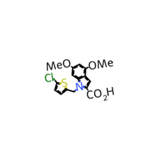 COc1cc(OC)c2cc(C(=O)O)n(Cc3ccc(Cl)s3)c2c1